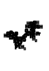 CC[C@@]1(O)C(=O)OCc2c1cc1n(c2=O)Cc2c-1nc1cc(F)c(C)c3c1c2[C@@H](NC(=O)COCNC(=O)[C@H](CO[C@@H]1O[C@H](CO)[C@H](O)[C@H](O)[C@H]1O)NC(=O)[C@@H](N)C(C)C)CC3